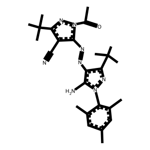 CC(=O)n1nc(C(C)(C)C)c(C#N)c1/N=N/c1c(C(C)(C)C)nn(-c2c(C)cc(C)cc2C)c1N